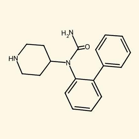 NC(=O)N(c1ccccc1-c1ccccc1)C1CCNCC1